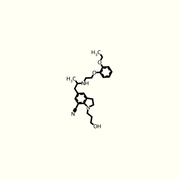 CCOc1ccccc1OCCNC(C)Cc1cc(C#N)c2c(c1)CCN2CCCO